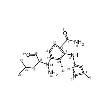 Cc1cc(Nc2c(C(N)=O)ccc(N(N)C(C=O)CC(C)C)c2F)sn1